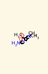 COCC1C2CN(C(C)C)CC2CC1N1CCC(N)C1=O